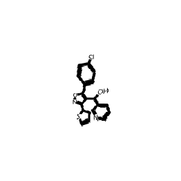 OC(c1cccnc1)c1c(C2CC=CS2)noc1-c1ccc(Cl)cc1